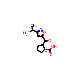 CC(C)c1cc(C(=O)C2CCC[C@@H]2C(=O)O)on1